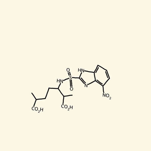 CC(CCC(NS(=O)(=O)c1nc2c([N+](=O)[O-])cccc2[nH]1)C(C)C(=O)O)C(=O)O